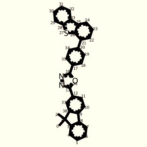 CC1(C)c2ccccc2-c2ccc(-c3nnc(-c4ccc(-c5cccc6c5sc5ccccc56)cc4)o3)cc21